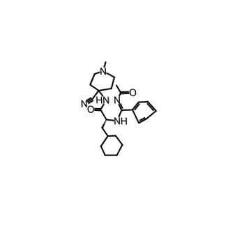 CC(=O)/N=C(/N[C@@H](CC1CCCCC1)C(=O)NC1(C#N)CCN(C)CC1)c1ccccc1